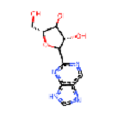 OC[C@H]1OC(c2ncc3nc[nH]c3n2)[C@@H](O)[C@@H]1O